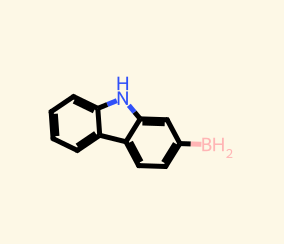 Bc1ccc2c(c1)[nH]c1ccccc12